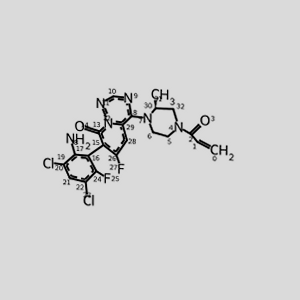 C=CC(=O)N1CCN(c2ncnn3c(=O)c(-c4c(N)c(Cl)cc(Cl)c4F)c(F)cc23)[C@@H](C)C1